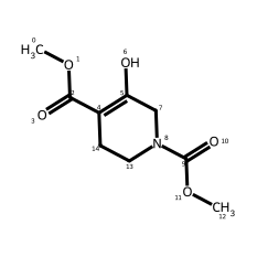 COC(=O)C1=C(O)CN(C(=O)OC)CC1